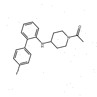 CC(=O)N1CCC(Nc2ccccc2-c2ccc(F)cc2)CC1